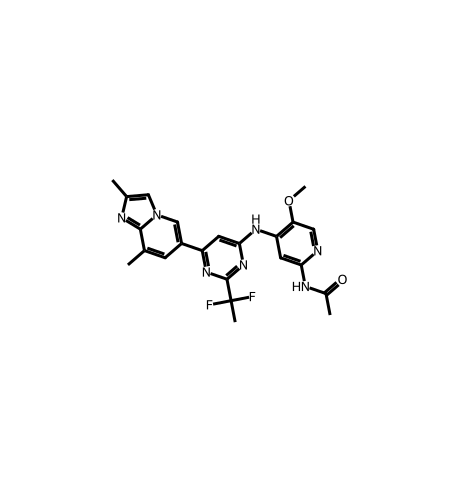 COc1cnc(NC(C)=O)cc1Nc1cc(-c2cc(C)c3nc(C)cn3c2)nc(C(C)(F)F)n1